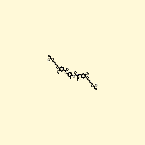 [C-]#[N+]/C(=C\c1ccc(OCCCCOC(=O)C=C)c(OC)c1)C(=O)Oc1ccc(OC(=O)c2ccc(OCCCCOC(=O)C=C)c(OC)c2)cc1C